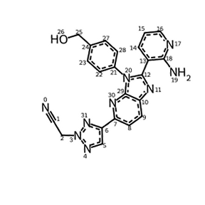 N#CCn1ncc(-c2ccc3nc(-c4cccnc4N)n(-c4ccc(CO)cc4)c3n2)n1